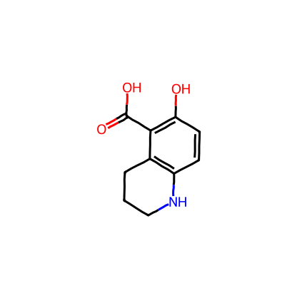 O=C(O)c1c(O)ccc2c1CCCN2